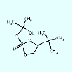 CC(C)(C)OP1(=O)OCC(C(C)(C)C)O1